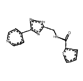 O=C(NCc1nc(-c2ccncc2)n[nH]1)c1cccs1